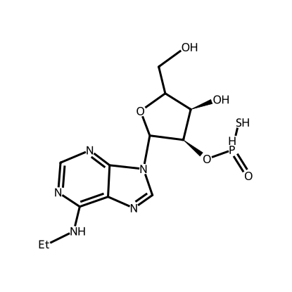 CCNc1ncnc2c1ncn2C1OC(CO)[C@@H](O)[C@H]1O[PH](=O)S